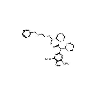 COc1cc([C@@H](C(=O)N2CCCC[C@H]2C(=O)OCCOCc2ccccc2)C2CCCCC2)cc(OC)c1OC